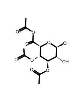 CC(=O)OC(=S)[C@H]1O[C@@H](O)[C@H](O)[C@@H](OC(C)=O)[C@@H]1OC(C)=O